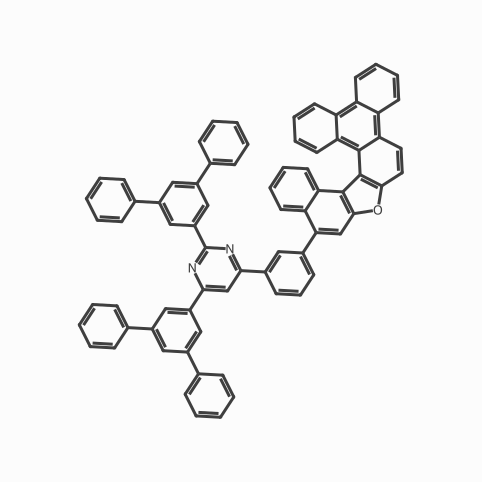 c1ccc(-c2cc(-c3ccccc3)cc(-c3cc(-c4cccc(-c5cc6oc7ccc8c9ccccc9c9ccccc9c8c7c6c6ccccc56)c4)nc(-c4cc(-c5ccccc5)cc(-c5ccccc5)c4)n3)c2)cc1